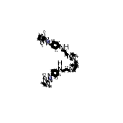 Cn1cc[n+](C)c1/N=N/c1ccc(NCCCn2cc[n+](Cn3cc[n+](CCCNc4ccc(/N=N/c5n(C)cc[n+]5C)cc4)c3)c2)cc1